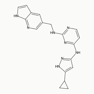 c1cc(Nc2cc(C3CC3)[nH]n2)nc(NCc2cnc3[nH]ccc3c2)n1